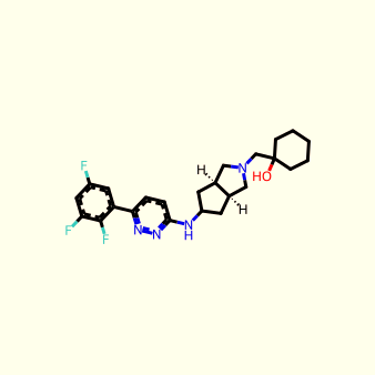 OC1(CN2C[C@H]3CC(Nc4ccc(-c5cc(F)cc(F)c5F)nn4)C[C@H]3C2)CCCCC1